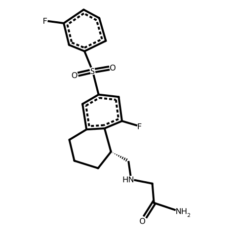 NC(=O)CNC[C@@H]1CCCc2cc(S(=O)(=O)c3cccc(F)c3)cc(F)c21